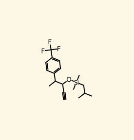 C#CC(O[Si](C)(C)CC(C)C)C(C)c1ccc(C(F)(F)F)cc1